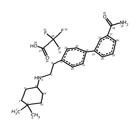 CC1(C)CCC(NCCc2ccc(-c3cccc(C(N)=O)c3)cc2)CC1.O=C(O)C(F)(F)F